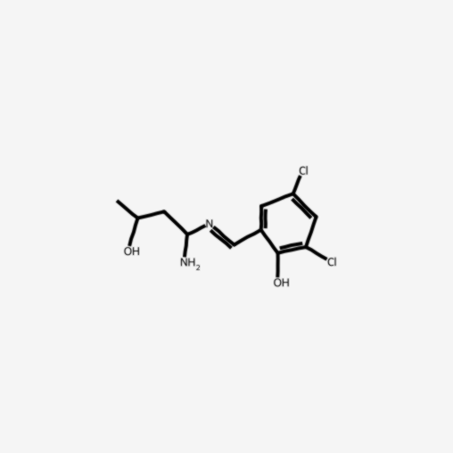 CC(O)CC(N)/N=C/c1cc(Cl)cc(Cl)c1O